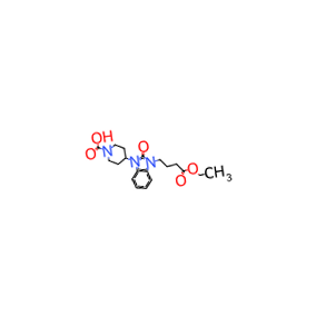 CCOC(=O)CCCn1c(=O)n(C2CCN(C(=O)O)CC2)c2ccccc21